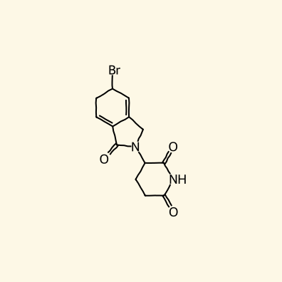 O=C1CCC(N2CC3=CC(Br)CC=C3C2=O)C(=O)N1